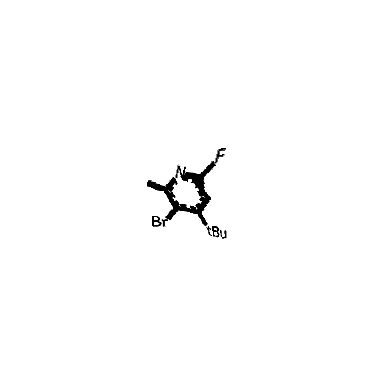 Cc1nc(F)cc(C(C)(C)C)c1Br